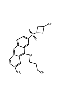 Nc1ccc2nc3ccc(S(=O)(=O)N4CC(O)C4)cc3c(NCCCO)c2c1